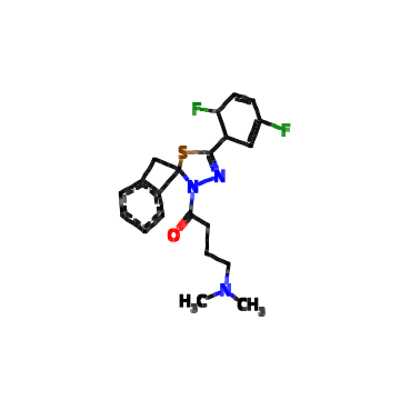 CN(C)CCCC(=O)N1N=C(C2C=C(F)C=CC2F)SC12Cc1ccccc12